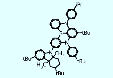 CC(C)c1ccc(N2c3ccccc3B3c4ccc(N5c6ccc(C(C)(C)C)cc6C6(C)CC(C(C)(C)C)CCC56C)cc4N(c4ccc(C(C)(C)C)cc4)c4cc(C(C)(C)C)cc2c43)cc1